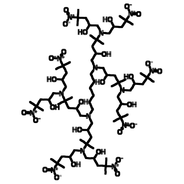 CC(C)(CC(O)CN(CCCCCCN(CC(O)CC(C)(C)N(CC(O)CC(C)(C)[N+](=O)[O-])CC(O)CC(C)(C)[N+](=O)[O-])CC(O)CC(C)(C)N(CC(O)CC(C)(C)[N+](=O)[O-])CC(O)CC(C)(C)[N+](=O)[O-])CC(O)CC(C)(C)N(CC(O)CC(C)(C)[N+](=O)[O-])CC(O)CC(C)(C)[N+](=O)[O-])N(CC(O)CC(C)(C)[N+](=O)[O-])CC(O)CC(C)(C)[N+](=O)[O-]